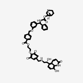 O=C(NC(c1ccccc1)c1cccc(OCc2ccc(C(=O)OCCOc3c(Cl)cc(CNC[C@H](O)c4ccc(O)c5[nH]c(=O)ccc45)cc3Cl)cc2)c1)O[C@H]1CN2CCC1CC2